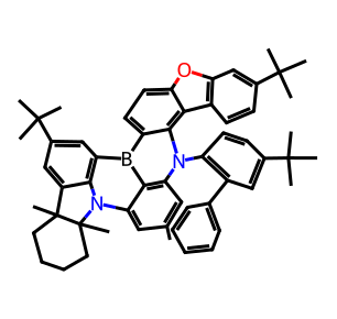 Cc1cc2c3c(c1)N1c4c(cc(C(C)(C)C)cc4C4(C)CCCCC14C)B3c1ccc3oc4cc(C(C)(C)C)ccc4c3c1N2c1ccc(C(C)(C)C)cc1-c1ccccc1